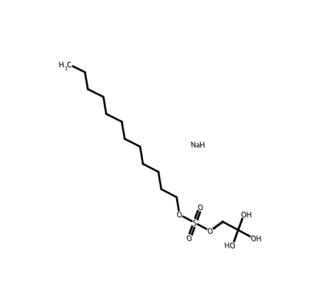 CCCCCCCCCCCCOS(=O)(=O)OCC(O)(O)O.[NaH]